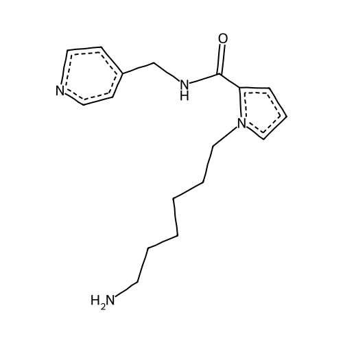 NCCCCCCn1cccc1C(=O)NCc1ccncc1